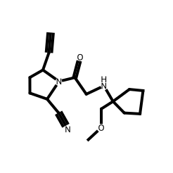 C#CC1CCC(C#N)N1C(=O)CNC1(COC)CCCC1